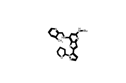 Cc1cccnc1CNc1cc(NC(C)(C)C)nc2cc(-c3ccnn3C3CCCCO3)sc12